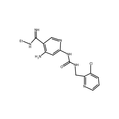 CCNC(=N)c1cnc(NC(=O)NCc2ncccc2Cl)cc1N